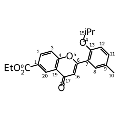 CCOC(=O)c1ccc2oc(-c3cc(C)ccc3OC(C)C)cc(=O)c2c1